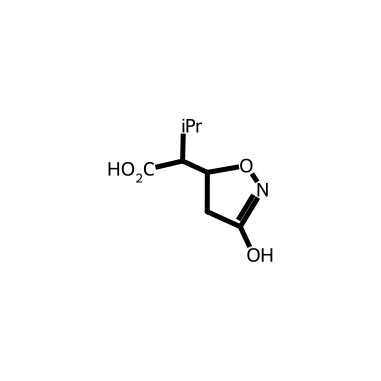 CC(C)C(C(=O)O)C1CC(O)=NO1